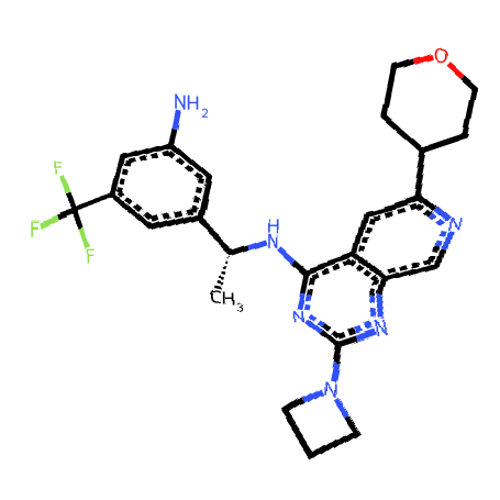 C[C@@H](Nc1nc(N2CCC2)nc2cnc(C3CCOCC3)cc12)c1cc(N)cc(C(F)(F)F)c1